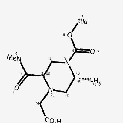 CNC(=O)[C@H]1CN(C(=O)OC(C)(C)C)[C@H](C)CN1CC(=O)O